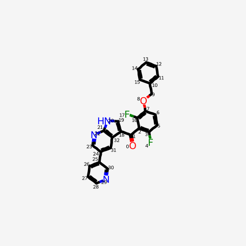 O=C(c1c(F)ccc(OCc2ccccc2)c1F)c1c[nH]c2ncc(-c3cccnc3)cc12